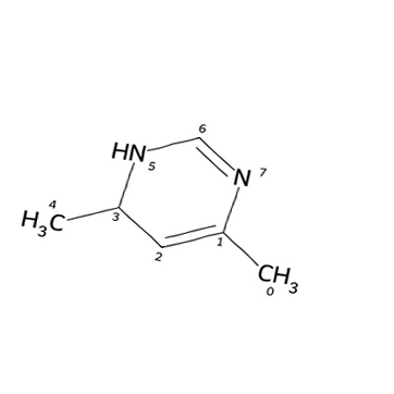 CC1=CC(C)NC=N1